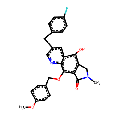 COc1ccc(COc2c3c(c(O)c4cc(Cc5ccc(F)cc5)cnc24)CN(C)C3=O)cc1